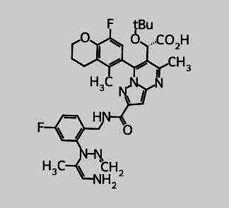 C=NN(/C(C)=C\N)c1cc(F)ccc1CNC(=O)c1cc2nc(C)c([C@H](OC(C)(C)C)C(=O)O)c(-c3cc(F)c4c(c3C)CCCO4)n2n1